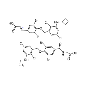 CCNc1cc(Cl)cc(COc2c(Br)cc(C(=O)NCC(=O)O)cc2Br)c1Cl.O=C(O)/C=C/c1cc(Br)c(OCc2cc(Cl)cc(NC3CCC3)c2Cl)c(Br)c1